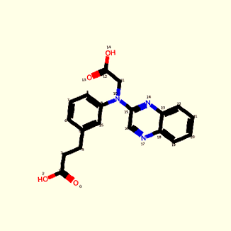 O=C(O)CCc1cccc(N(CC(=O)O)c2cnc3ccccc3n2)c1